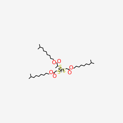 CC(C)CCCCCCCOC(=O)C[S][Sn]([S]CC(=O)OCCCCCCCC(C)C)[S]C(C)C(=O)OCCCCCCCC(C)C